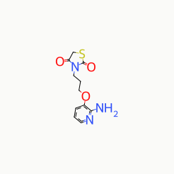 Nc1ncccc1OCCCN1C(=O)CSC1=O